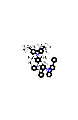 Cc1c(C)c(-n2c3ccc(C(C)(C)C)cc3c3cc(C(C)(C)C)ccc32)c(C)c(C)c1B1c2ccccc2-n2c3ccccc3c3c(-n4c5ccccc5c5ccc(-c6ccccc6)cc54)ccc1c32